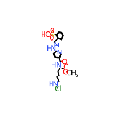 COC(=O)C(CCCCNCl)NC(=O)c1ccc(NN=Cc2ccccc2S(=O)(=O)O)nc1